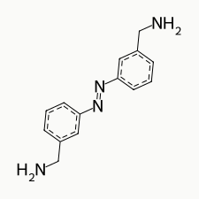 NCc1cccc(/N=N/c2cccc(CN)c2)c1